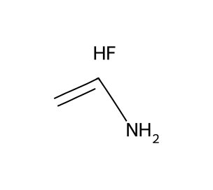 C=CN.F